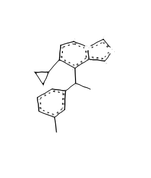 O=C(O)c1cccc(C(O)c2c(C3CC3)ccn3cncc23)c1